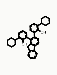 Oc1c(-c2ccc3c(c2-c2cccc(C4CCCCC4)c2O)Cc2ccccc2-3)cccc1C1CCCCC1